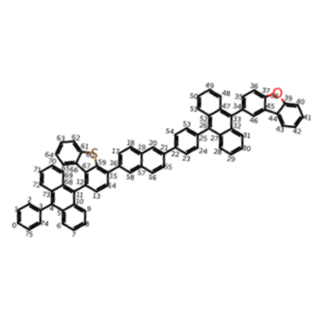 c1ccc(-c2c3ccccc3c(-c3ccc(-c4ccc5cc(-c6ccc(-c7c8ccccc8c(-c8ccc9oc%10ccccc%10c9c8)c8ccccc78)cc6)ccc5c4)c4sc5ccccc5c34)c3ccccc23)cc1